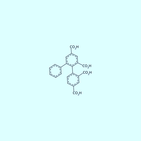 O=C(O)c1ccc(-c2c(C(=O)O)cc(C(=O)O)cc2-c2ccccc2)c(C(=O)O)c1